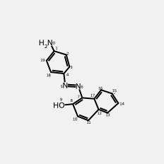 Nc1ccc(/N=N/c2c(O)ccc3cc[c]cc23)cc1